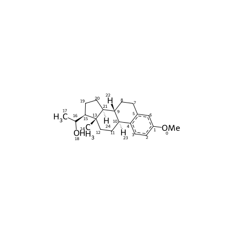 COc1ccc2c(c1)CC[C@@H]1[C@@H]2CC[C@]2(C)[C@@H](C(C)O)CC[C@@H]12